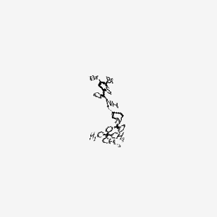 CC(C)(C)OC(=O)N1CC[C@@H](CNC(=O)c2cc(Br)c(Br)s2)C1